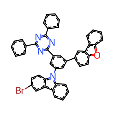 Brc1ccc2c(c1)c1ccccc1n2-c1cc(-c2ccc3oc4ccccc4c3c2)cc(-c2nc(-c3ccccc3)nc(-c3ccccc3)n2)c1